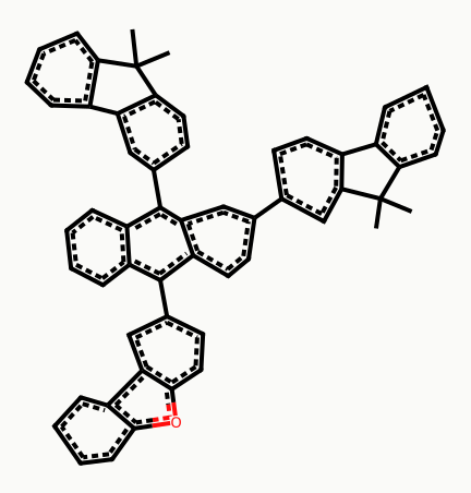 CC1(C)c2ccccc2-c2cc(-c3c4ccccc4c(-c4ccc5oc6ccccc6c5c4)c4ccc(-c5ccc6c(c5)C(C)(C)c5ccccc5-6)cc34)ccc21